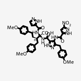 COc1ccc(CC[C@H](Cc2ccc(OC)cc2)[C@@](NC(=O)c2ccn[nH]2)(NC(=O)c2[nH]nc(Cc3ccc(OC)cc3)c2NC(=O)c2cc([N+](=O)[O-])n[nH]2)C(=O)O)cc1